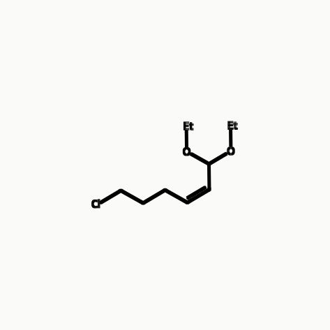 CCOC(/C=C\CCCCl)OCC